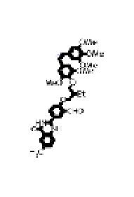 CCC(COc1ccc(C2NC(=O)c3cc(C)ccc3N2)cc1C=O)COc1c(OC)cc(/C=C\c2cc(OC)c(OC)c(OC)c2)cc1OC